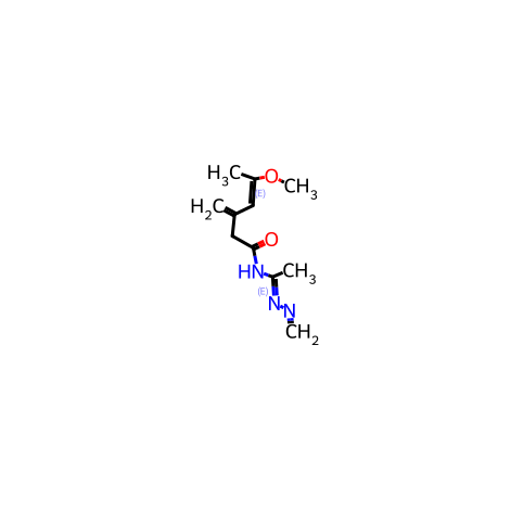 C=N/N=C(\C)NC(=O)CC(=C)/C=C(\C)OC